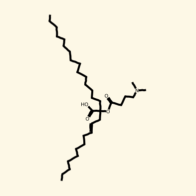 CCCCCCCCC=CCC(CCCCCCCCCCCCCCC)(OC(=O)CCCN(C)C)C(=O)O